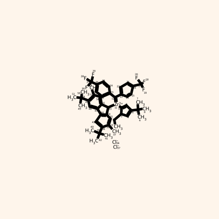 CCC1C=C(C(C)(C)C)C=[C]1[Zr+2](=[C](c1ccc(C(F)(F)F)cc1)c1ccc(C(F)(F)F)cc1)[CH]1c2cc(C)c(C(C)(C)C)cc2-c2cc(C(C)(C)C)c(C)cc21.[Cl-].[Cl-]